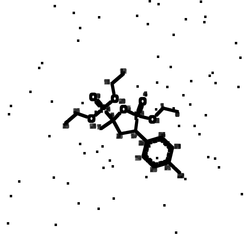 CCOP1(=O)OC(C)(P(=O)(OCC)OCC)CC1c1ccc(C)cc1